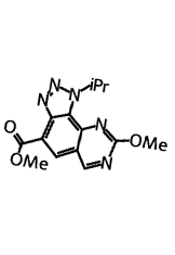 COC(=O)c1cc2cnc(OC)nc2c2c1nnn2C(C)C